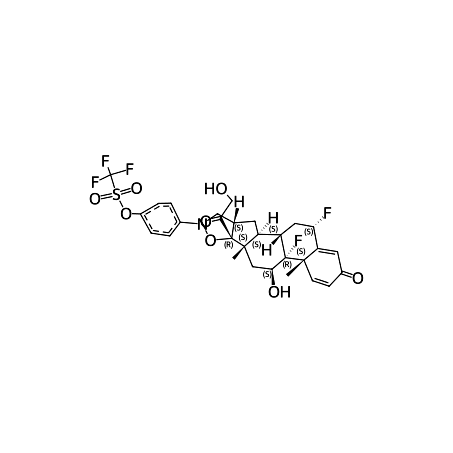 C[C@]12C=CC(=O)C=C1[C@@H](F)C[C@H]1[C@@H]3C[C@H]4CN(c5ccc(OS(=O)(=O)C(F)(F)F)cc5)O[C@@]4(C(=O)CO)[C@@]3(C)C[C@H](O)[C@@]12F